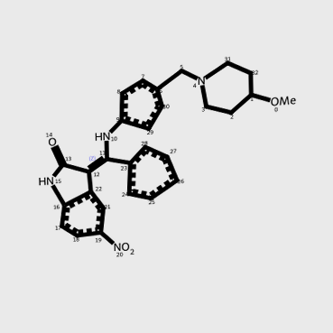 COC1CCN(Cc2ccc(N/C(=C3\C(=O)Nc4ccc([N+](=O)[O-])cc43)c3ccccc3)cc2)CC1